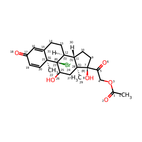 CC(=O)OCC(=O)[C@@]1(O)CC[C@H]2[C@@H]3CCC4=CC(=O)C=C[C@]4(C)[C@@]3(Br)C(O)C[C@@]21C